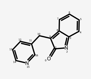 O=C1N=c2ccccc2=C1Cc1cccnc1